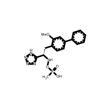 COc1cc(-c2ccccc2)ccc1C[C@H](NOP(C)(=O)O)c1nnn[nH]1